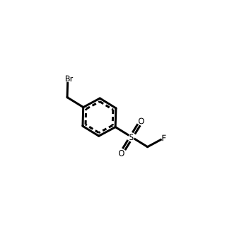 O=S(=O)(CF)c1ccc(CBr)cc1